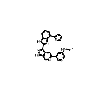 CC(C)Nc1cncc(-c2cc3c(-c4nc5c(-c6cccs6)cccc5[nH]4)n[nH]c3cn2)c1